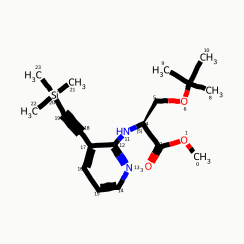 COC(=O)[C@H](COC(C)(C)C)Nc1ncccc1C#C[Si](C)(C)C